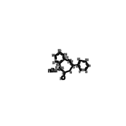 CCCCN1C(=O)CC(c2ccccc2)=Nc2ccccc21